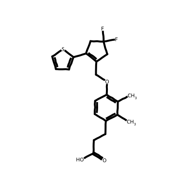 Cc1c(CCC(=O)O)ccc(OCC2=C(c3cccs3)CC(F)(F)C2)c1C